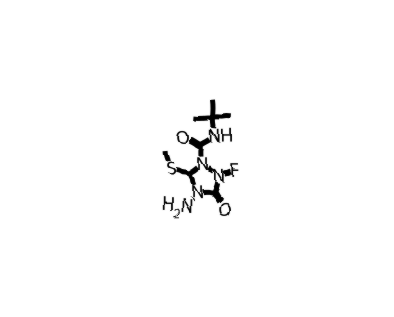 CSC1N(N)C(=O)N(F)N1C(=O)NC(C)(C)C